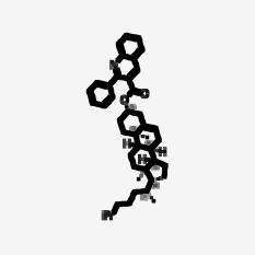 CC(C)CCC[C@@H](C)[C@H]1CC[C@H]2[C@@H]3CC=C4C[C@@H](OC(=O)c5cc6ccccc6nc5-c5ccccc5)CC[C@]4(C)[C@H]3CC[C@]12C